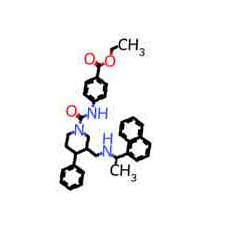 CCOC(=O)c1ccc(NC(=O)N2CCC(c3ccccc3)C(CN[C@H](C)c3cccc4ccccc34)C2)cc1